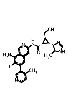 Cc1ccncc1-c1cc2cc(NC(=O)[C@@H]3[C@@H](CC#N)[C@@H]3C3N=CNC3C)ncc2c(N)c1F